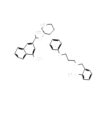 COc1ccccc1COCCCOc1ccc([C@H]2CCNC[C@@H]2OC(OC)c2cc(OC)c3ccccc3c2)cc1